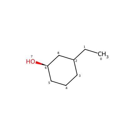 CCC1CCC[C@@H](O)C1